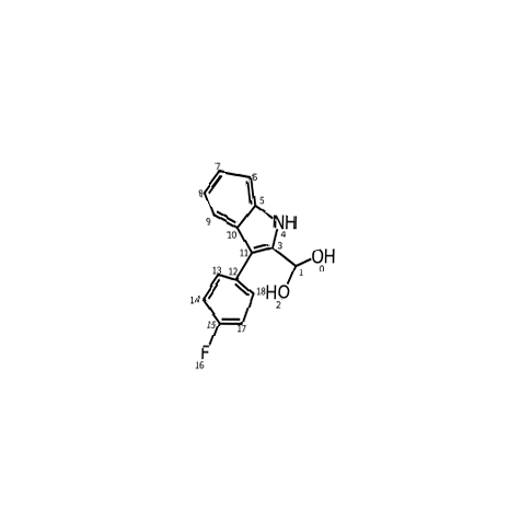 OC(O)c1[nH]c2ccccc2c1-c1ccc(F)cc1